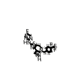 Fc1cnc(Nc2nc3c(s2)CCN(Cc2ccc(C(F)(F)F)cc2)c2[nH]ncc2-3)nc1